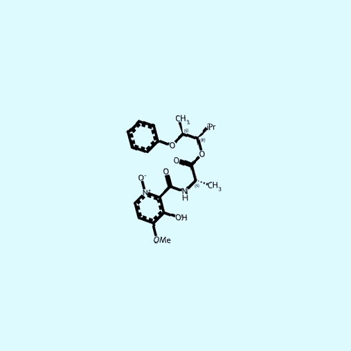 COc1cc[n+]([O-])c(C(=O)N[C@@H](C)C(=O)O[C@H](C(C)C)[C@H](C)Oc2ccccc2)c1O